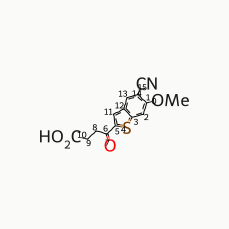 COc1cc2sc(C(=O)CCC(=O)O)cc2cc1C#N